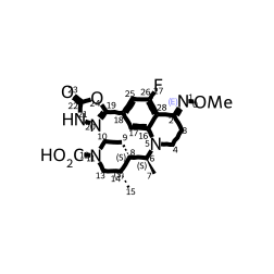 CO/N=C1\CCN([C@@H](C)[C@H]2CCN(C(=O)O)C[C@H]2C)c2cc(-c3n[nH]c(=O)o3)cc(F)c21